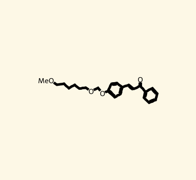 COCCCCCCOCOc1ccc(/C=C/C(=O)c2ccccc2)cc1